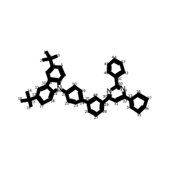 CC(C)(C)c1ccc2c(c1)c1cc(C(C)(C)C)ccc1n2-c1ccc(-c2cccc(-c3cc(-c4ccccc4)nc(-c4ccccc4)n3)c2)cc1